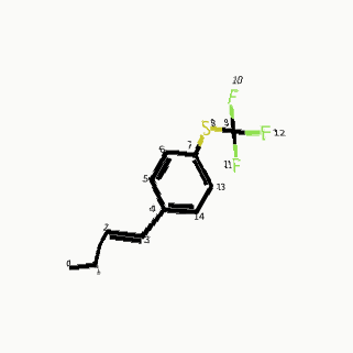 CC/C=C/c1ccc(SC(F)(F)F)cc1